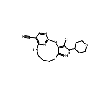 N#Cc1cnc2nc1NCCCOC(=N)/C(=C(/Cl)NC1CCOCC1)N2